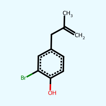 C=C(C)Cc1ccc(O)c(Br)c1